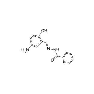 Nc1ccc(O)c(C=NNC(=O)c2ccccc2)c1